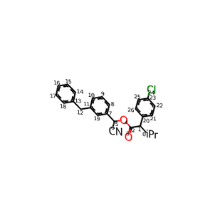 CC(C)C(C(=O)OC(C#N)c1cccc(Cc2ccccc2)c1)c1ccc(Cl)cc1